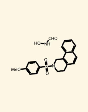 COc1ccc(S(=O)(=O)N2CCc3ccc4ccccc4c3C2)cc1.O=CNO